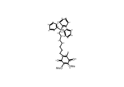 COC1=C(OC)C(=O)C(CCCCCCC[PH](c2ccccc2)(c2ccccc2)c2ccccc2)=C(C)C1=O